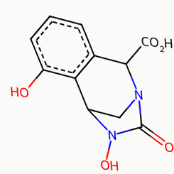 O=C(O)C1c2cccc(O)c2C2CN1C(=O)N2O